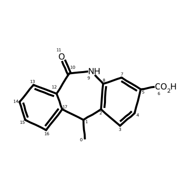 CC1c2ccc(C(=O)O)cc2NC(=O)c2ccccc21